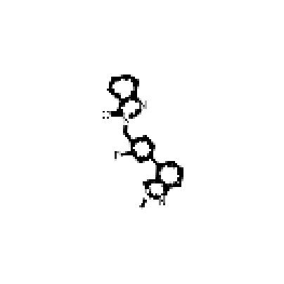 Cn1cc2c(-c3ccc(Cn4cnc5ccccc5c4=O)c(F)c3)cccc2n1